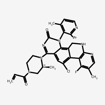 C=CC(=O)N1CCN(c2nc(=O)n(-c3c(C)ccnc3C(C)C)c3c4c(c(Cl)cc23)-c2c(ncc(C)c2F)NC4)[C@@H](C)C1